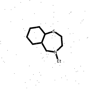 CCN1CCSC2CCCCC2C1